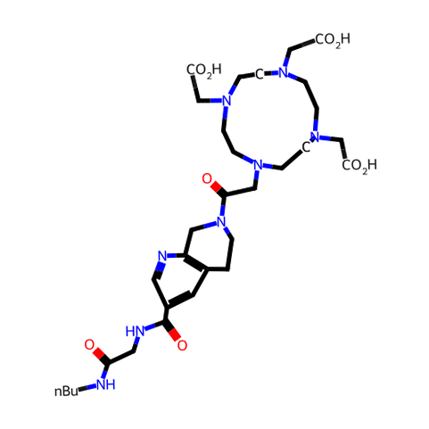 CCCCNC(=O)CNC(=O)c1cnc2c(c1)CCN(C(=O)CN1CCN(CC(=O)O)CCN(CC(=O)O)CCN(CC(=O)O)CC1)C2